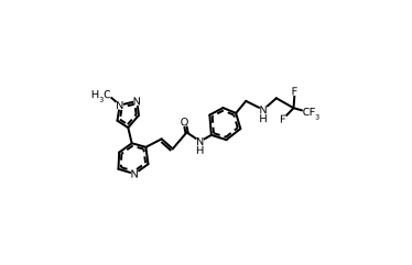 Cn1cc(-c2ccncc2/C=C/C(=O)Nc2ccc(CNCC(F)(F)C(F)(F)F)cc2)cn1